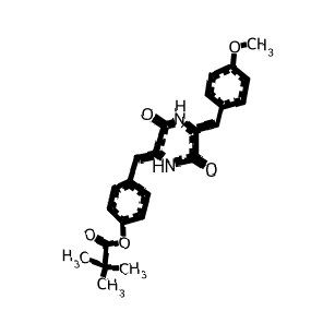 COc1ccc(/C=c2\[nH]c(=O)/c(=C/c3ccc(OC(=O)C(C)(C)C)cc3)[nH]c2=O)cc1